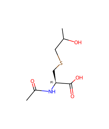 CC(=O)N[C@@H](CSCC(C)O)C(=O)O